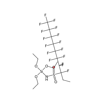 CCO[Si](NS(=O)(=O)C(F)(CC)C(F)(F)C(F)(F)C(F)(F)C(F)(F)C(F)(F)C(F)(F)C(F)(F)F)(OCC)OCC